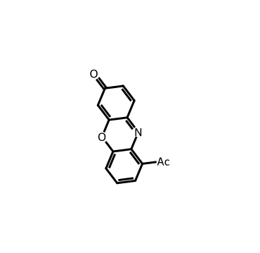 CC(=O)c1cccc2oc3cc(=O)ccc-3nc12